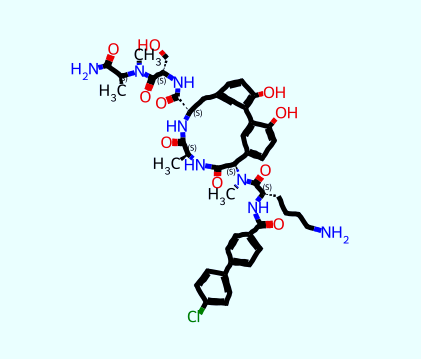 C[C@@H]1NC(=O)[C@@H](N(C)C(=O)[C@H](CCCCN)NC(=O)c2ccc(-c3ccc(Cl)cc3)cc2)c2ccc(O)c(c2)-c2cc(ccc2O)C[C@@H](C(=O)N[C@@H](CO)C(=O)N(C)[C@@H](C)C(N)=O)NC1=O